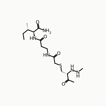 CC[C@H](C)[C@H](NC(=O)CCNC(=O)CSC[C@H](NNC)C(C)=O)C(N)=O